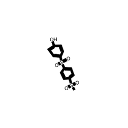 CS(=O)(=O)c1ccc(S(=O)(=O)c2ccc(O)cc2)cc1